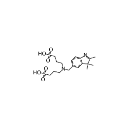 CC1=Nc2ccc(CN(CCCS(=O)(=O)O)CCCS(=O)(=O)O)cc2C1(C)C